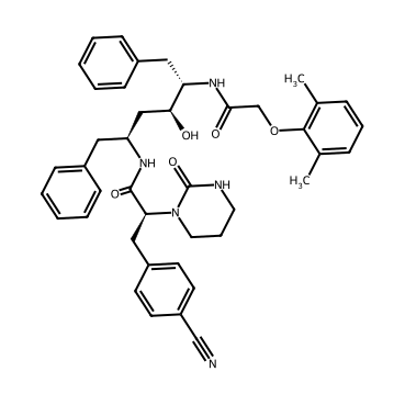 Cc1cccc(C)c1OCC(=O)N[C@@H](Cc1ccccc1)[C@@H](O)C[C@H](Cc1ccccc1)NC(=O)[C@H](Cc1ccc(C#N)cc1)N1CCCNC1=O